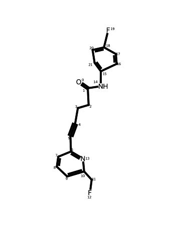 O=C(CCC#Cc1cccc(CF)n1)Nc1ccc(F)cc1